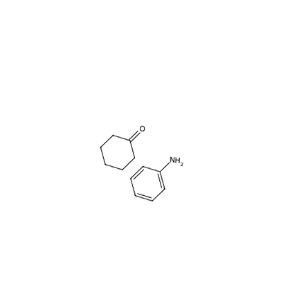 Nc1ccccc1.O=C1CCCCC1